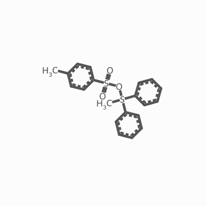 Cc1ccc(S(=O)(=O)OS(C)(c2ccccc2)c2ccccc2)cc1